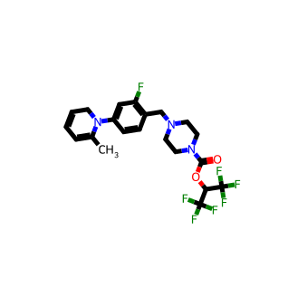 CC1=CC=CCN1c1ccc(CN2CCN(C(=O)OC(C(F)(F)F)C(F)(F)F)CC2)c(F)c1